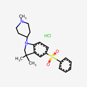 CN1CCC(N2CC(C)(C)c3cc(S(=O)(=O)c4ccccc4)ccc32)CC1.Cl